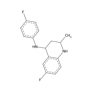 CC1CC(Nc2ccc(F)cc2)c2cc(F)ccc2N1